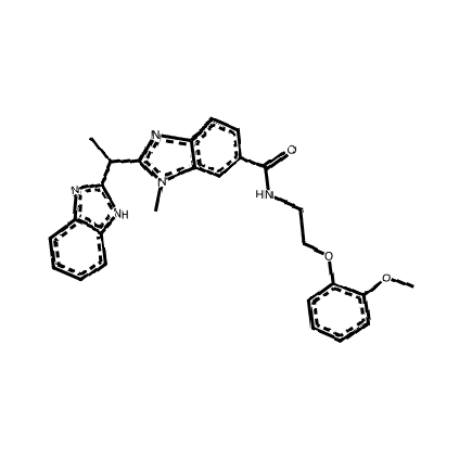 COc1ccccc1OCCNC(=O)c1ccc2nc(C(C)c3nc4ccccc4[nH]3)n(C)c2c1